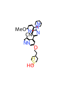 COc1ccc(CN2C3CC2CN(c2ccc(-c4cc(OCCC5CC[SH](O)CC5)cn5ncc(C#N)c45)cn2)C3)cn1